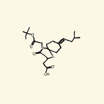 CC(C)CC=C1CCC2(CC1)SC(CC(=O)O)C(=O)N2CC(=O)OC(C)(C)C